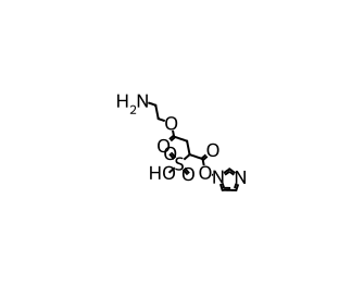 NCCOC(=O)CC(C(=O)On1ccnc1)S(=O)(=O)O